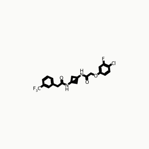 O=C(COc1ccc(Cl)c(F)c1)NC12CC(NC(=O)Cc3cccc(C(F)(F)F)c3)(C1)C2